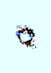 Cc1c2ccc3c1nnn3CCCCOc1ccc(c3c1OC(C)(C)C3)C(=O)N1CCc3ccc(cc3C1)C2CC(=O)O